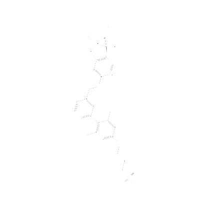 CC(=O)[C@H]1[C@@H]2Cc3cc(OCc4cccc(-c5c(C)cc(OCCCS(C)(=O)=O)cc5C)c4)ncc3[C@@H]21